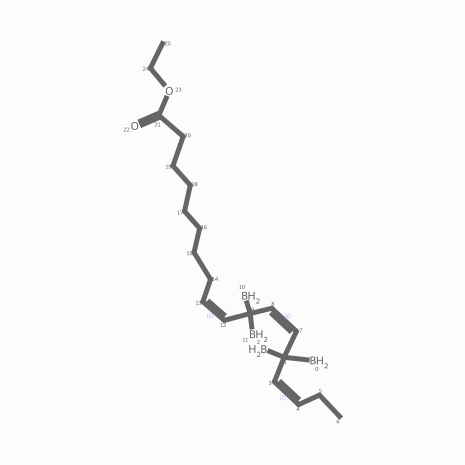 BC(B)(/C=C\CC)/C=C\C(B)(B)/C=C\CCCCCCCC(=O)OCC